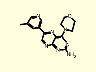 Cc1cncc(-c2cnc3nc(N)nc(N4CCOCC4)c3n2)c1